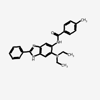 CCN(CC)c1cc2[nH]c(-c3ccccc3)nc2cc1NC(=O)c1ccc(C)cc1